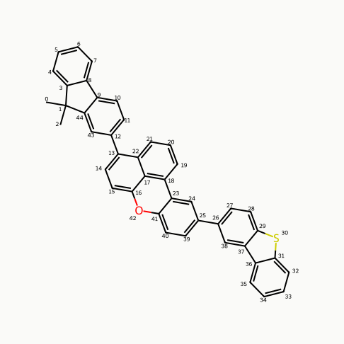 CC1(C)c2ccccc2-c2ccc(-c3ccc4c5c(cccc35)-c3cc(-c5ccc6sc7ccccc7c6c5)ccc3O4)cc21